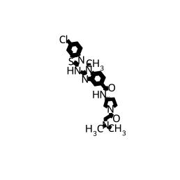 CN(C)CC(=O)N1CC[C@@H](NC(=O)c2ccc3c(c2)nc(Nc2nc4ccc(Cl)cc4s2)n3C)C1